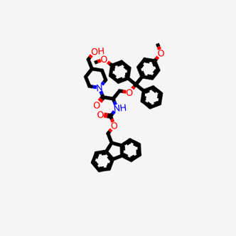 COc1ccc(C(OCC(NC(=O)OCC2c3ccccc3-c3ccccc32)C(=O)N2CCC(CO)CC2)(c2ccccc2)c2ccc(OC)cc2)cc1